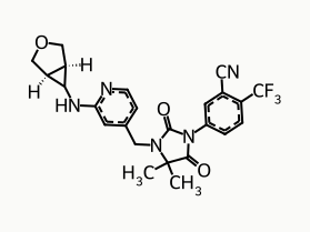 CC1(C)C(=O)N(c2ccc(C(F)(F)F)c(C#N)c2)C(=O)N1Cc1ccnc(NC2[C@H]3COC[C@@H]23)c1